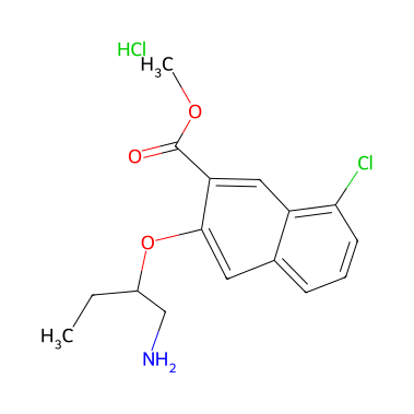 CCC(CN)Oc1cc2cccc(Cl)c2cc1C(=O)OC.Cl